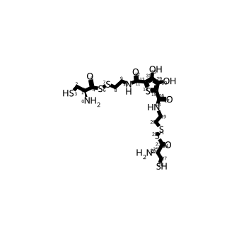 N[C@@H](CS)C(=O)SSCCNC(=O)c1sc(C(=O)NCCSSC(=O)[C@@H](N)CS)c(O)c1O